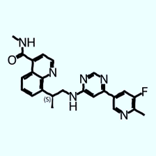 CNC(=O)c1ccnc2c([C@H](C)CNc3cc(-c4cnc(C)c(F)c4)ncn3)cccc12